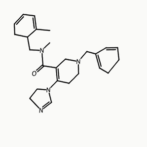 CC1=CC=CCC1CN(C)C(=O)C1=C(N2C=NCC2)CCN(CC2=CCCC=C2)C1